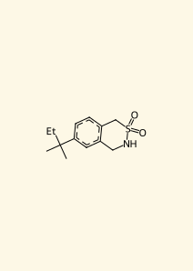 CCC(C)(C)c1ccc2c(c1)CNS(=O)(=O)C2